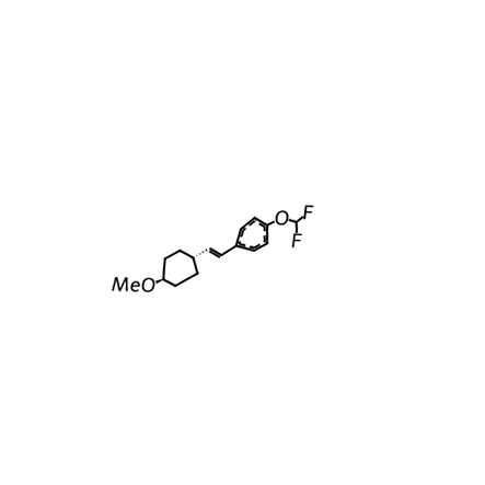 CO[C@H]1CC[C@H](/C=C/c2ccc(OC(F)F)cc2)CC1